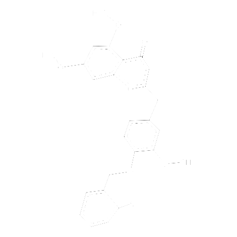 COc1cc(OC)c2c(=O)cc(Cc3ccc(OCc4ccccc4Cl)c(OC)c3)oc2c1